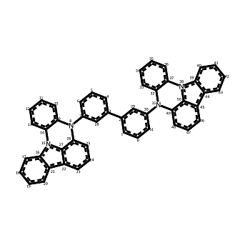 c1cc(-c2cccc(N3c4ccccc4-n4c5ccccc5c5cccc3c54)c2)cc(N2c3ccccc3-n3c4ccccc4c4cccc2c43)c1